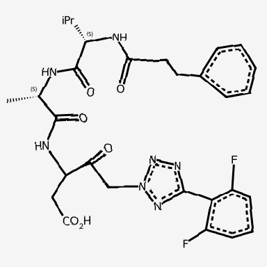 CC(C)[C@H](NC(=O)CCc1ccccc1)C(=O)N[C@@H](C)C(=O)NC(CC(=O)O)C(=O)Cn1nnc(-c2c(F)cccc2F)n1